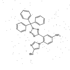 CC(C)(C)c1cn(-c2ccc(N)cc2-c2nnn(C(c3ccccc3)(c3ccccc3)c3ccccc3)n2)cn1